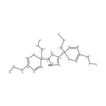 CCOC1=CCC(OCC)(C2=CNN(C3(OCC)C=CC(OCC)=CC3)O2)C=C1